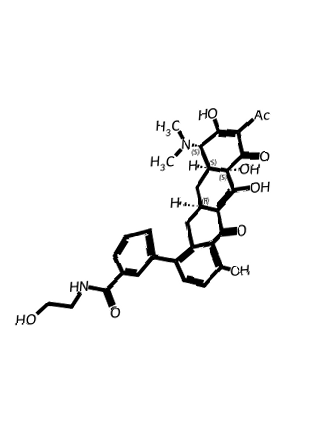 CC(=O)C1=C(O)[C@@H](N(C)C)[C@@H]2C[C@@H]3Cc4c(-c5cccc(C(=O)NCCO)c5)ccc(O)c4C(=O)C3=C(O)[C@]2(O)C1=O